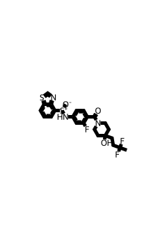 CC(F)(F)CCC1(O)CCN(C(=O)c2ccc(N[S+]([O-])c3cccc4scnc34)cc2F)CC1